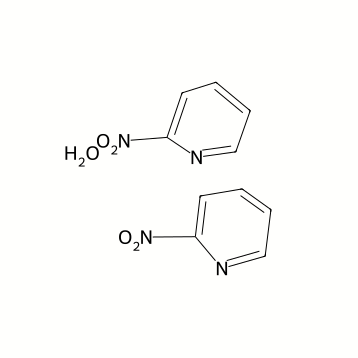 O.O=[N+]([O-])c1ccccn1.O=[N+]([O-])c1ccccn1